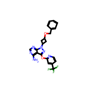 Nc1ncnc2c1c(Oc1cc(C(F)(F)F)ccn1)nn2C1CC(OCc2ccccc2)C1